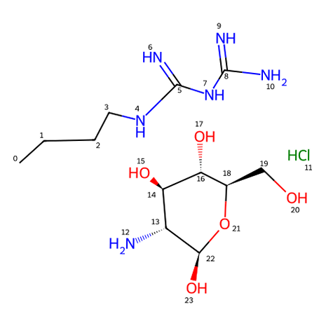 CCCCNC(=N)NC(=N)N.Cl.N[C@@H]1[C@@H](O)[C@H](O)[C@@H](CO)O[C@H]1O